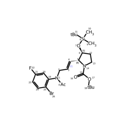 CC(=O)N(C/C=C/[C@@H]1[C@@H](O[Si](C)(C)C(C)(C)C)CCN1C(=O)OC(C)(C)C)c1cc(F)ccc1Br